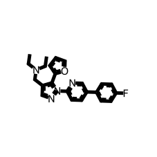 CCN(CC)Cc1cnn(-c2ccc(-c3ccc(F)cc3)cn2)c1-c1ccco1